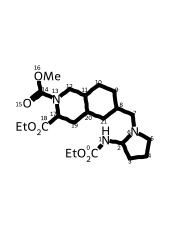 CCOC(=O)NC1CCCN1CC1CCC2CN(C(=O)OC)C(C(=O)OCC)CC2C1